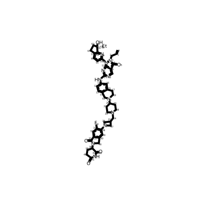 C=CCn1c(=O)c2cnc(Nc3ccc4c(c3)CCN(C3CCN(CC5CN(c6cc7c(cc6F)C(=O)N(C6CCC(=O)NC6=O)C7)C5)CC3)C4)nc2n1-c1ccc2c(n1)[C@@](O)(CC)CC2